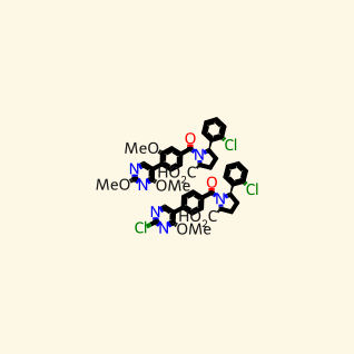 COc1nc(Cl)ncc1-c1ccc(C(=O)N2[C@@H](c3ccccc3Cl)CC[C@H]2C(=O)O)cc1.COc1ncc(-c2ccc(C(=O)N3[C@@H](c4ccccc4Cl)CC[C@H]3C(=O)O)cc2OC)c(OC)n1